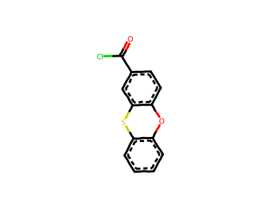 O=C(Cl)c1ccc2c(c1)Sc1ccccc1O2